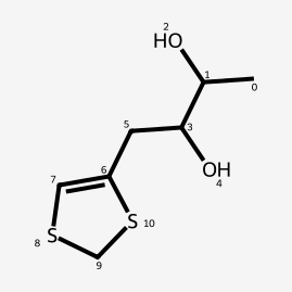 CC(O)C(O)CC1=CSCS1